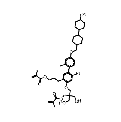 C=C(C)C(=O)OCCCc1cc(-c2ccc(OCC3CCC(C4CCC(CCC)CC4)CC3)cc2C)c(CC)cc1OCC(CO)(CO)COC(=O)C(=C)C